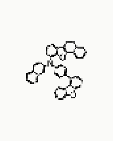 c1ccc2cc(N(c3ccc(-c4cccc5oc6ccccc6c45)cc3)c3cccc4c3oc3c5ccccc5ccc43)ccc2c1